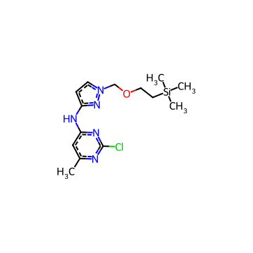 Cc1cc(Nc2ccn(COCC[Si](C)(C)C)n2)nc(Cl)n1